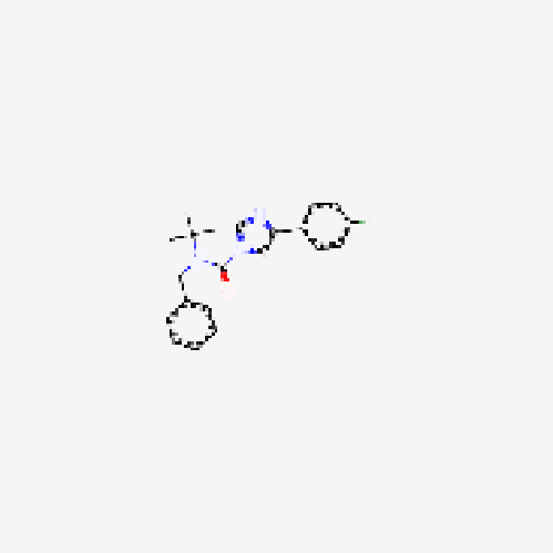 CC(C)(C)N(Cc1ccccc1)C(=O)n1cnc(-c2ccc(Cl)cc2)c1